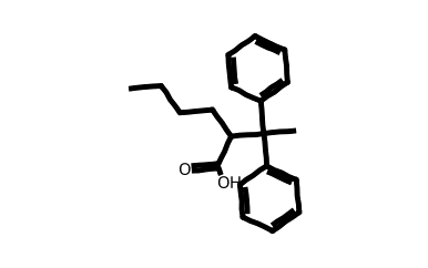 CCCCC(C(=O)O)C(C)(c1ccccc1)c1ccccc1